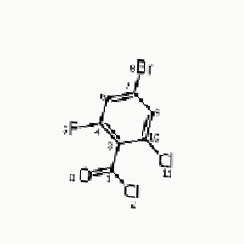 O=C(Cl)c1c(F)cc(Br)cc1Cl